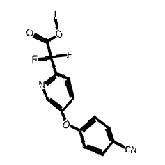 N#Cc1ccc(Oc2ccc(C(F)(F)C(=O)OI)nc2)cc1